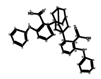 O=C(O)c1c(Oc2ccccc2)cccc1C12CC3CC(C1)CC(c1cccc(Oc4ccccc4)c1C(=O)O)(C3)C2